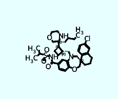 CCCC[C@]1([C@@H]2CC[C@H]2CN2C[C@@]3(CCCc4cc(Cl)ccc43)COc3ccc(C(=O)NS(=O)(=O)C(C)C)cc32)COCCN1